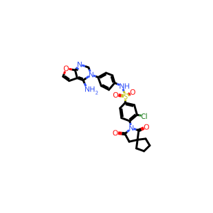 NC1=c2ccoc2=NCN1c1ccc(NS(=O)(=O)c2ccc(N3C(=O)CC4(CCCC4)C3=O)c(Cl)c2)cc1